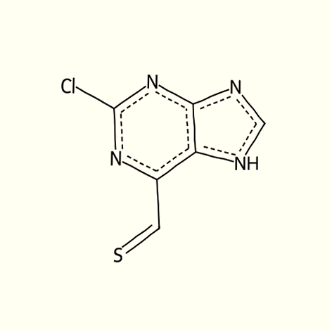 S=Cc1nc(Cl)nc2nc[nH]c12